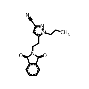 CCCn1nc(C#N)cc1CCN1C(=O)c2ccccc2C1=O